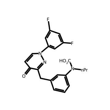 CCCN(C(=O)O)c1cccc(Cc2nn(-c3cc(F)cc(F)c3)ccc2=O)c1